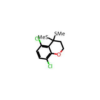 CSC1(SC)CCOc2c(Cl)ccc(Cl)c21